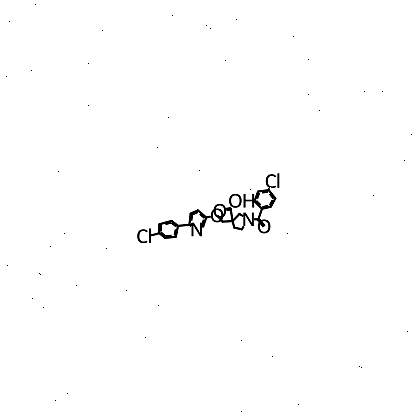 O=C(c1ccc(Cl)cc1)N1CCC(COc2ccc(-c3ccc(Cl)cc3)nc2)(C(=O)O)C1